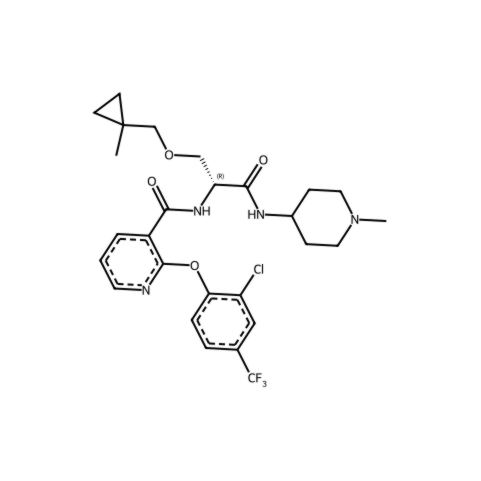 CN1CCC(NC(=O)[C@@H](COCC2(C)CC2)NC(=O)c2cccnc2Oc2ccc(C(F)(F)F)cc2Cl)CC1